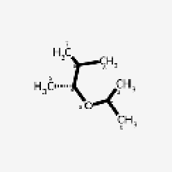 CC(C)O[C@H](C)C(C)C